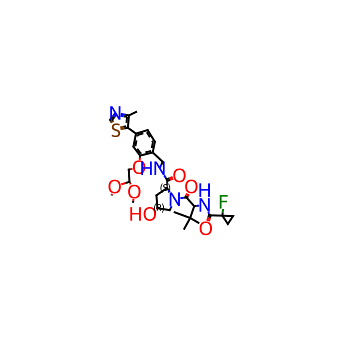 COC(COc1cc(-c2scnc2C)ccc1CNC(=O)[C@@H]1C[C@@H](O)CN1C(=O)C(NC(=O)C1(F)CC1)C(C)(C)C)OC